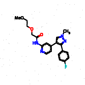 COCCOCC(=O)Nc1cc(-c2cn(C)nc2-c2ccc(F)cc2)ccn1